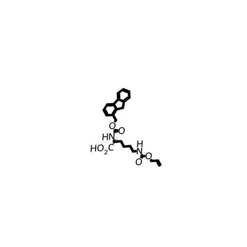 C=CCOC(=O)NCCCC[C@H](NC(=O)OCc1cccc2c1Cc1ccccc1-2)C(=O)O